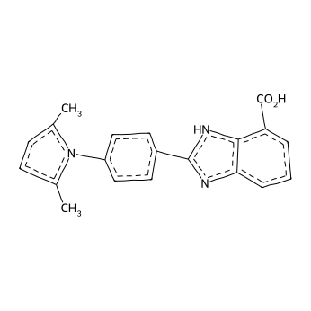 Cc1ccc(C)n1-c1ccc(-c2nc3cccc(C(=O)O)c3[nH]2)cc1